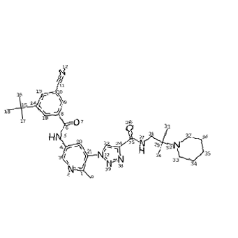 Cc1ncc(NC(=O)c2cc(C#N)cc(C(C)(C)C)c2)cc1-n1cc(C(=O)NCC(C)(C)N2CCCCC2)nn1